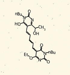 CCCCN1C(=O)N=C(OCC)C(=CC=CC=Cc2c(C(C)O)nc(=O)n(CCCC)c2O)C1=O